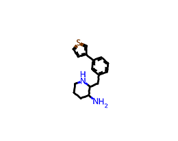 NC1CCCNC1Cc1cccc(-c2ccsc2)c1